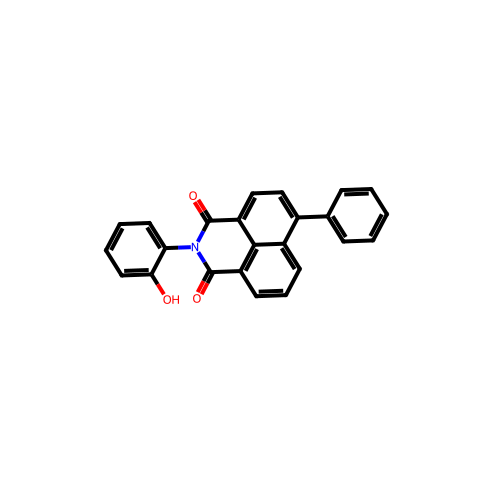 O=C1c2cccc3c(-c4ccccc4)ccc(c23)C(=O)N1c1ccccc1O